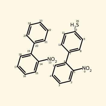 O=[N+]([O-])c1ccccc1-c1ccccc1.O=[N+]([O-])c1ccccc1-c1ccccc1.S